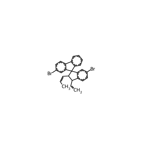 C=CC1c2ccc(Br)cc2C2(c3ccccc3-c3ccc(Br)cc32)C1/C=C\C